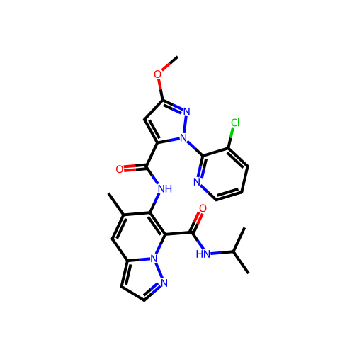 COc1cc(C(=O)Nc2c(C)cc3ccnn3c2C(=O)NC(C)C)n(-c2ncccc2Cl)n1